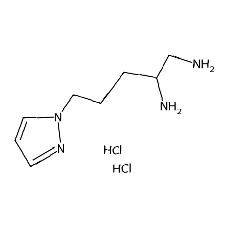 Cl.Cl.NCC(N)CCCn1cccn1